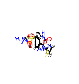 CCCNC=O.NS(=O)(=O)c1ccc(C(=O)Nc2nccs2)cc1